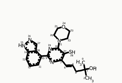 CC(C)(O)C/C=C/c1nc(-c2cccc3[nH]ncc23)nc(N2CCOCC2)c1S